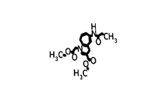 CCOC(=O)CN1C=C(C(=O)OCC)CC2=C1CC=CC(NC(=O)CC)=C2